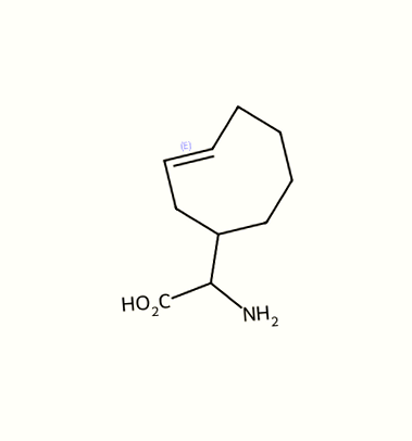 NC(C(=O)O)C1C/C=C/CCCC1